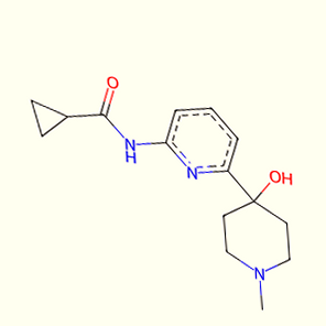 CN1CCC(O)(c2cccc(NC(=O)C3CC3)n2)CC1